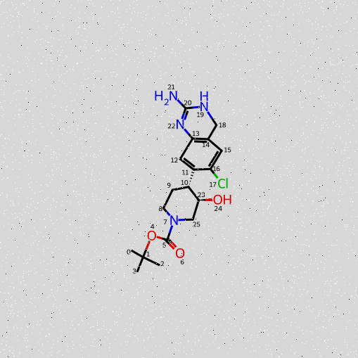 CC(C)(C)OC(=O)N1CC[C@H](c2cc3c(cc2Cl)CNC(N)=N3)[C@@H](O)C1